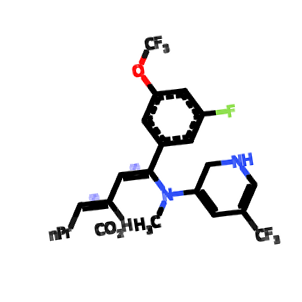 CCC/C=C(/C=C(/c1cc(F)cc(OC(F)(F)F)c1)N(C)C1=CC(C(F)(F)F)=CNC1)C(=O)O